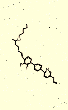 C=CCc1ccc(-c2ccc(-c3ccc(C=CCCCC(C)OCCCCC)c(F)c3F)cc2)nc1